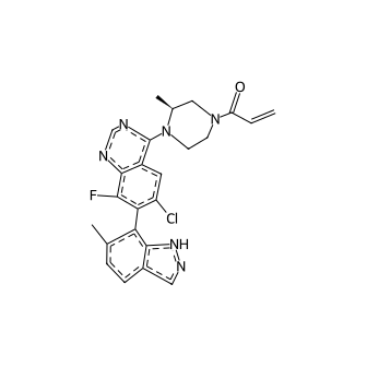 C=CC(=O)N1CCN(c2ncnc3c(F)c(-c4c(C)ccc5cn[nH]c45)c(Cl)cc23)[C@@H](C)C1